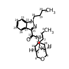 CCCCN1[C@@H]2COC[C@H]1C[C@@H](NC(=O)c1nn(CCCC)c3ccccc13)C2